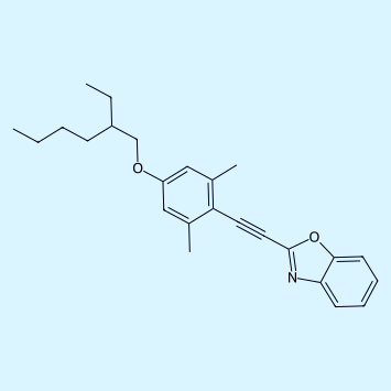 CCCCC(CC)COc1cc(C)c(C#Cc2nc3ccccc3o2)c(C)c1